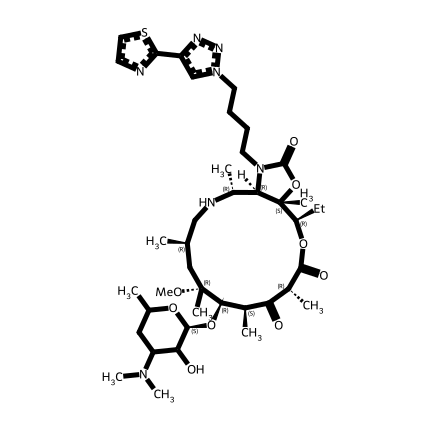 CC[C@H]1OC(=O)[C@H](C)C(=O)[C@@H](C)[C@@H](O[C@@H]2OC(C)CC(N(C)C)C2O)[C@](C)(OC)C[C@@H](C)CN[C@H](C)[C@H]2N(CCCCn3cc(-c4nccs4)nn3)C(=O)O[C@]12C